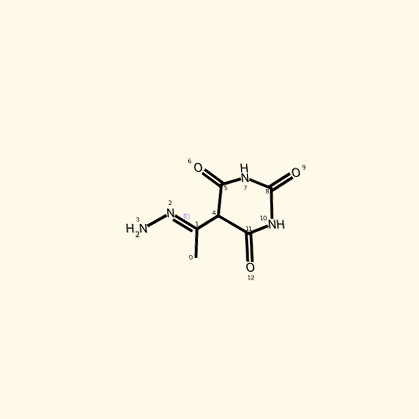 C/C(=N\N)C1C(=O)NC(=O)NC1=O